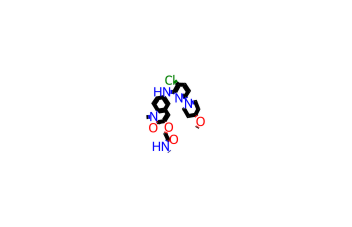 CNC(=O)COc1cc2cc(Nc3nc(N4CCC(OC)CC4)ccc3Cl)ccc2n(C)c1=O